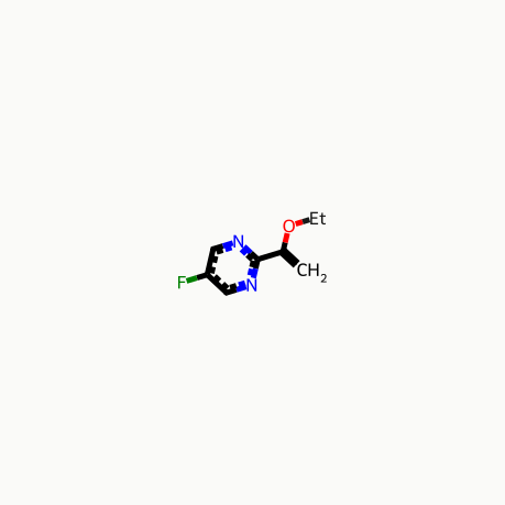 C=C(OCC)c1ncc(F)cn1